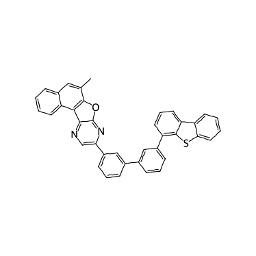 Cc1cc2ccccc2c2c1oc1nc(-c3cccc(-c4cccc(-c5cccc6c5sc5ccccc56)c4)c3)cnc12